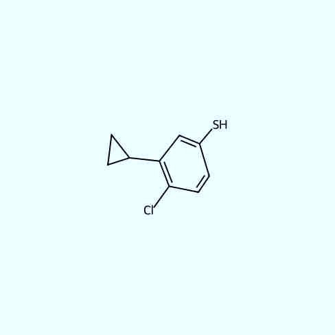 Sc1ccc(Cl)c(C2CC2)c1